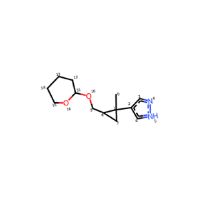 CC1(c2cn[nH]c2)CC1COC1CCCCO1